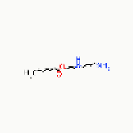 CCCCCCC(=O)OCCCNCCCCN